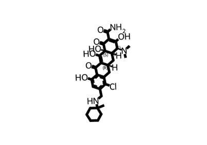 CN(C)[C@@H]1C(O)=C(C(N)=O)C(=O)[C@@]2(O)C(O)=C3C(=O)c4c(O)cc(CNC5(C)CCCCC5)c(Cl)c4C[C@H]3C[C@@H]12